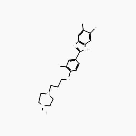 CN1CCN(CCCOc2ccc(-c3nc4cc(Cl)c(F)cc4[nH]3)cc2F)CC1